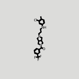 Cc1ccc(NCCCN2CC3CN(C(=O)c4cccc(C(F)(F)F)c4)CC3C2)cc1Cl